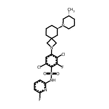 C[C@@H]1CCCN([C@@H]2CCCC3(C2)CN(c2cc(Cl)c(S(=O)(=O)Nc4cccc(F)n4)c(F)c2Cl)C3)C1